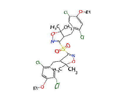 CCOc1cc(Cl)c(CC2C(S(=O)(=O)C3=NOC(C)(C)C3Cc3cc(Cl)c(OCC)cc3Cl)=NOC2(C)C)cc1Cl